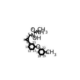 CNC(=O)N(O)CC1CC1c1cccc(Oc2cccc(C)c2)c1